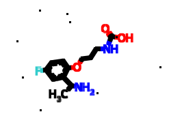 CC(N)c1cc(F)ccc1OCCCNC(=O)O